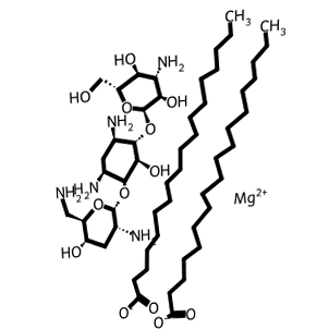 CCCCCCCCCCCCCCCCCC(=O)[O-].CCCCCCCCCCCCCCCCCC(=O)[O-].NC[C@H]1O[C@H](O[C@H]2[C@H](O)[C@@H](O[C@H]3O[C@H](CO)[C@@H](O)[C@H](N)[C@H]3O)[C@H](N)C[C@@H]2N)[C@H](N)C[C@@H]1O.[Mg+2]